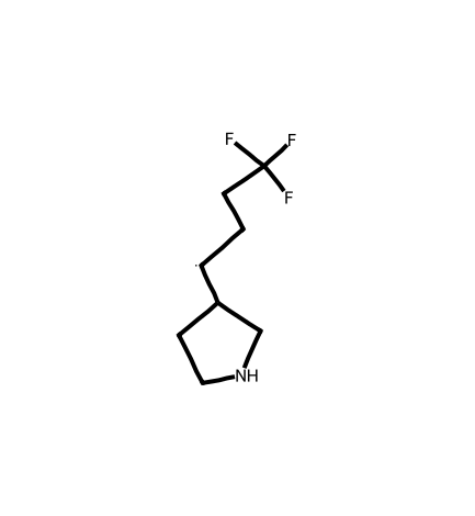 FC(F)(F)CC[CH]C1CCNC1